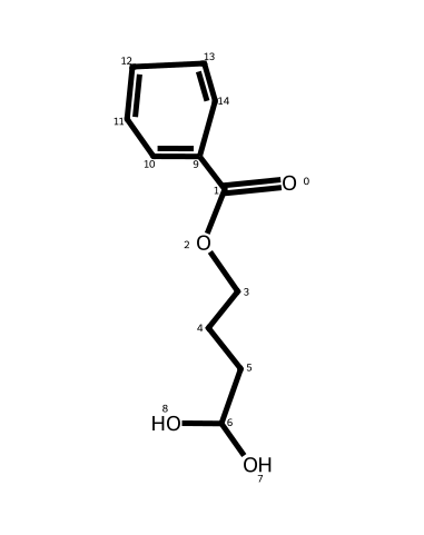 O=C(OCCCC(O)O)c1ccccc1